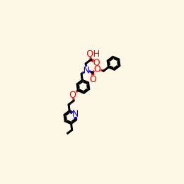 CCc1ccc(CCOc2cccc(CN(CC(=O)O)C(=O)OCc3ccccc3)c2)nc1